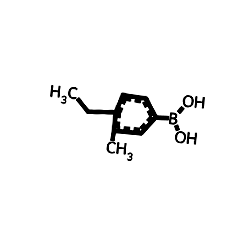 CCc1ccc(B(O)O)cc1C